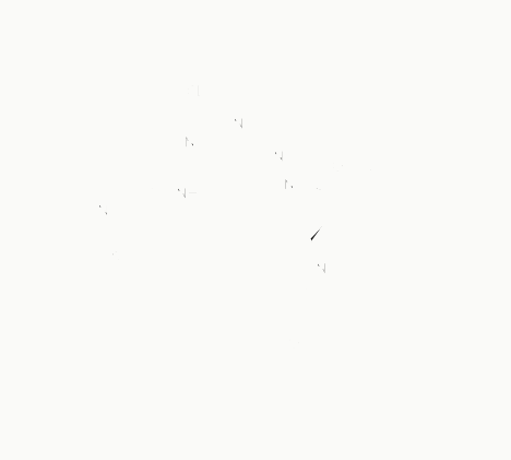 O=CN(C[C@H](CC1CCCC1)C(=O)NNc1nc(Cl)nc(NCc2cscn2)c1F)OC1CCCCO1